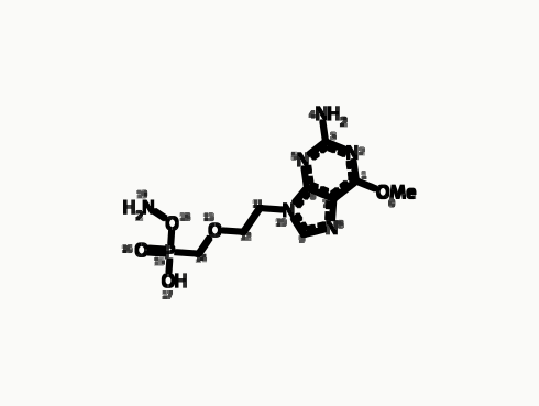 COc1nc(N)nc2c1ncn2CCOCP(=O)(O)ON